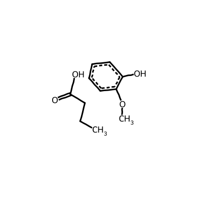 CCCC(=O)O.COc1ccccc1O